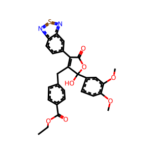 CCOC(=O)c1ccc(CC2=C(c3ccc4nsnc4c3)C(=O)OC2(O)c2ccc(OC)c(OC)c2)cc1